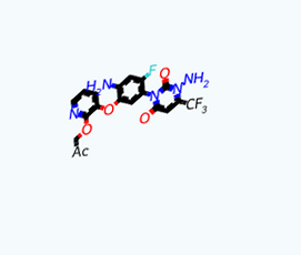 CC(=O)COc1ncccc1Oc1cc(-n2c(=O)cc(C(F)(F)F)n(N)c2=O)c(F)cc1N